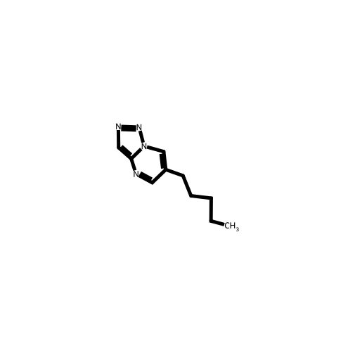 CCCCCc1cnc2cnnn2c1